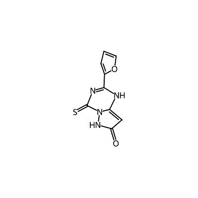 O=c1cc2[nH]c(-c3ccco3)nc(=S)n2[nH]1